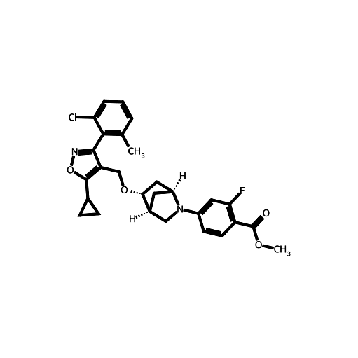 COC(=O)c1ccc(N2C[C@@H]3C[C@H]2C[C@H]3OCc2c(-c3c(C)cccc3Cl)noc2C2CC2)cc1F